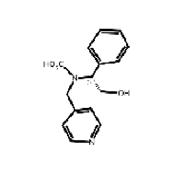 O=C(O)N(Cc1ccncc1)[C@@H](CO)c1ccccc1